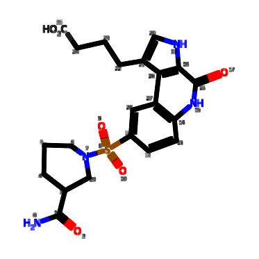 NC(=O)C1CCCN(S(=O)(=O)c2ccc3[nH]c(=O)c4[nH]cc(CCCC(=O)O)c4c3c2)C1